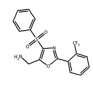 NCc1oc(-c2ccccc2C(F)(F)F)nc1S(=O)(=O)c1ccccc1